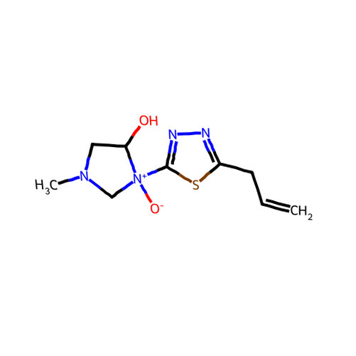 C=CCc1nnc([N+]2([O-])CN(C)CC2O)s1